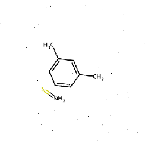 Cc1cccc(C)c1.[SiH2]=S